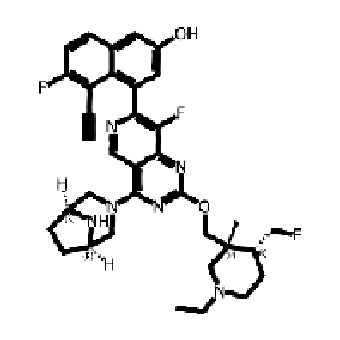 C#Cc1c(F)ccc2cc(O)cc(-c3ncc4c(N5C[C@H]6CC[C@@H](C5)N6)nc(OC[C@@]5(C)CN(CC)CC[C@H]5CF)nc4c3F)c12